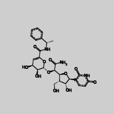 C[C@H](NC(=O)C1=C[C@H](O)[C@H](O)[C@@H](O[C@@H](C(N)=O)[C@H]2O[C@@H](n3ccc(=O)[nH]c3=O)[C@H](O)[C@@H]2CO)O1)c1ccccc1